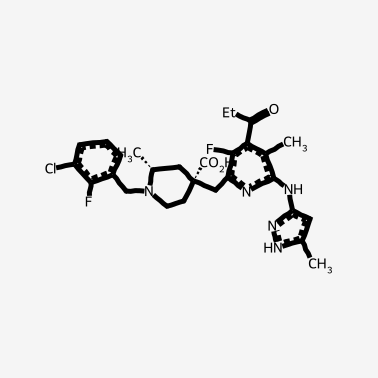 CCC(=O)c1c(C)c(Nc2cc(C)[nH]n2)nc(C[C@@]2(C(=O)O)CCN(Cc3cccc(Cl)c3F)[C@H](C)C2)c1F